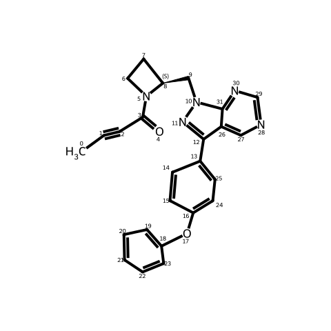 CC#CC(=O)N1CC[C@H]1Cn1nc(-c2ccc(Oc3ccccc3)cc2)c2cncnc21